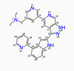 CN(C)Cc1cncc(-c2cc3c(-c4cc5c(-c6ccccn6)cccc5[nH]4)n[nH]c3cn2)c1